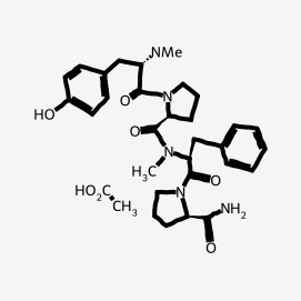 CC(=O)O.CN[C@@H](Cc1ccc(O)cc1)C(=O)N1CCC[C@H]1C(=O)N(C)[C@@H](Cc1ccccc1)C(=O)N1CCC[C@@H]1C(N)=O